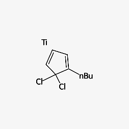 CCCCC1=CC=CC1(Cl)Cl.[Ti]